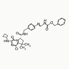 CC1(C)C[C@@H](C(=O)NCc2ccc(N=CNC(=O)OCc3ccccc3)cc2)n2c1c(Cl)nc(NC1CCC1)c2=O